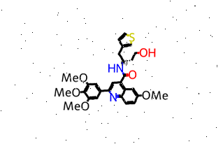 COc1ccc2nc(-c3cc(OC)c(OC)c(OC)c3)cc(C(=O)N[C@@H](CCO)Cc3ccsc3)c2c1